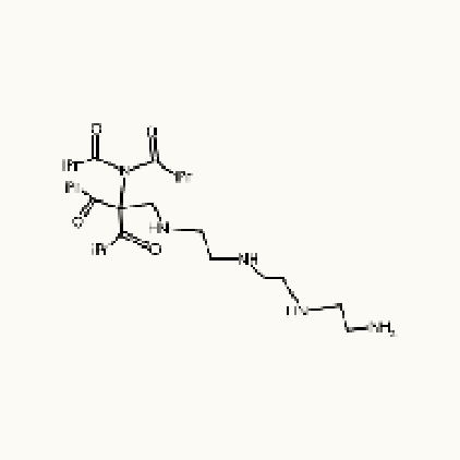 CC(C)C(=O)N(C(=O)C(C)C)C(CNCCNCCNCCN)(C(=O)C(C)C)C(=O)C(C)C